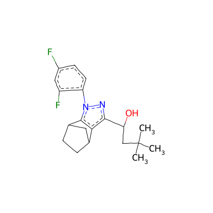 CC(C)(C)CC(O)c1nn(-c2ccc(F)cc2F)c2c1C1CCC2C1